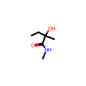 CCC(C)(O)C(=O)NC